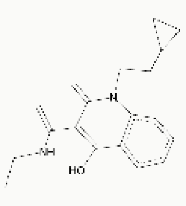 C=C(NCC)C1=C(O)c2ccccc2N(CCC2CC2)C1=C